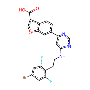 O=C(O)c1coc2cc(-c3cc(NCCc4c(F)cc(Br)cc4F)ncn3)ccc12